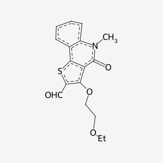 CCOCCOc1c(C=O)sc2c1c(=O)n(C)c1ccccc21